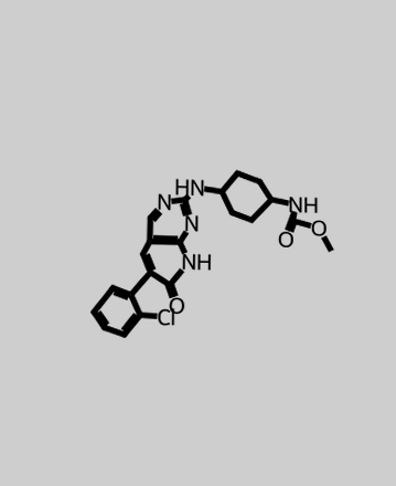 COC(=O)NC1CCC(Nc2ncc3cc(-c4ccccc4Cl)c(=O)[nH]c3n2)CC1